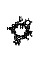 CCC[C@H]1C(=O)N[C@@H](C2CCCCCC2)C(=O)N[C@@H](CN)C(=O)N[C@@H](C(C)O)C(=O)NCC(=O)O[C@H](CC2C[C@H]3CC[C@@H](C2)C3)[C@@H](C)C(=O)N1C